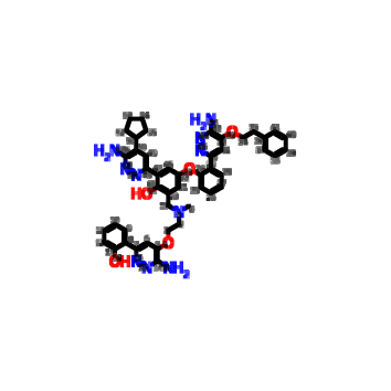 CN(CCOc1cc(-c2ccccc2O)nnc1N)Cc1cc(Oc2ccccc2-c2cc(OCCc3ccccc3)c(N)nn2)cc(-c2cc(C3CCCC3)c(N)nn2)c1O